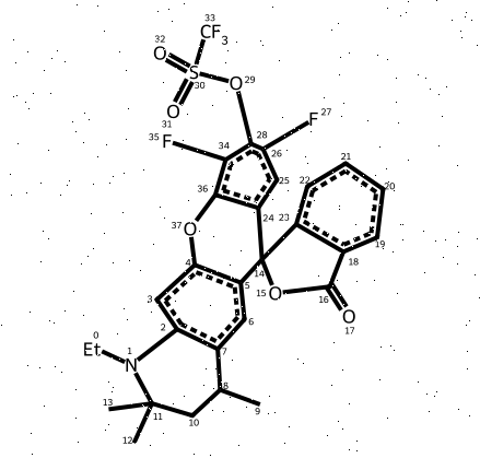 CCN1c2cc3c(cc2C(C)CC1(C)C)C1(OC(=O)c2ccccc21)c1cc(F)c(OS(=O)(=O)C(F)(F)F)c(F)c1O3